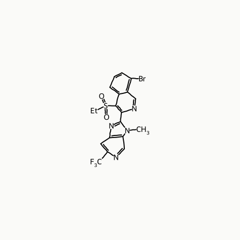 CCS(=O)(=O)c1c(-c2nc3cc(C(F)(F)F)ncc3n2C)ncc2c(Br)cccc12